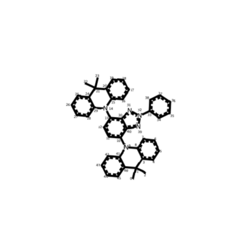 CC1(C)c2ccccc2N(c2ccc(N3c4ccccc4C(C)(C)c4ccccc43)c3nn(-c4ccccc4)nc23)c2ccccc21